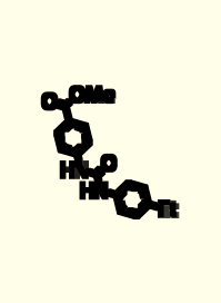 CCc1ccc(NC(=O)Nc2ccc(C(=O)OC)cc2)cc1